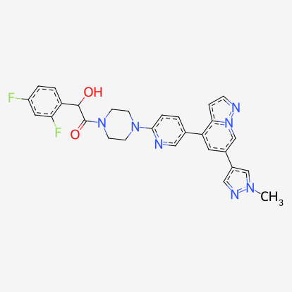 Cn1cc(-c2cc(-c3ccc(N4CCN(C(=O)C(O)c5ccc(F)cc5F)CC4)nc3)c3ccnn3c2)cn1